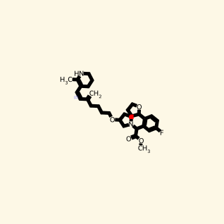 C=C(/C=C\C1=C(C)NCCC1)CCCCOC1CCN(C(C(=O)OC)c2cc(F)ccc2C2CCCO2)C1